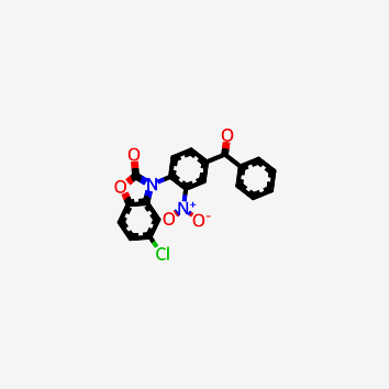 O=C(c1ccccc1)c1ccc(-n2c(=O)oc3ccc(Cl)cc32)c([N+](=O)[O-])c1